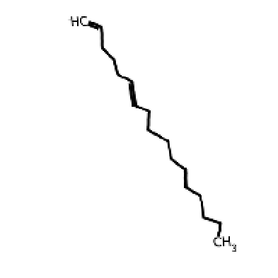 [CH]=CCCCC=CCCCCCCCCCC